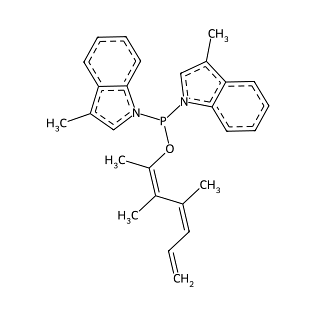 C=C/C=C(C)\C(C)=C(\C)OP(n1cc(C)c2ccccc21)n1cc(C)c2ccccc21